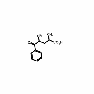 CCCC(CC(C)C(=O)O)C(=O)c1ccccc1